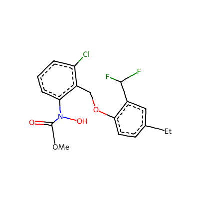 CCc1ccc(OCc2c(Cl)cccc2N(O)C(=O)OC)c(C(F)F)c1